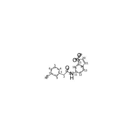 O=C(Cc1cccc(F)c1)Nc1ccc2c(c1)S(=O)(=O)C=C2